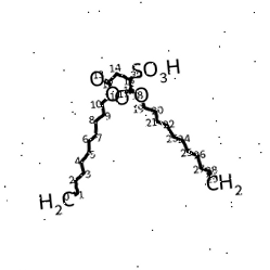 C=CCCCCCCCCCOC(=O)CC(C(=O)OCCCCCCCCCC=C)S(=O)(=O)O